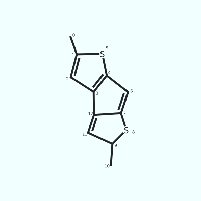 Cc1cc2c(s1)C=C1SC(C)C=C12